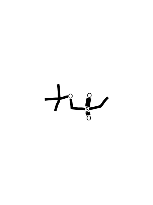 CCS(=O)(=O)COC(C)(C)C